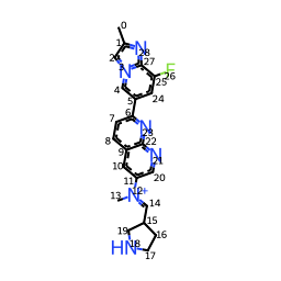 Cc1cn2cc(-c3ccc4cc(/[N+](C)=C/C5CCNC5)cnc4n3)cc(F)c2n1